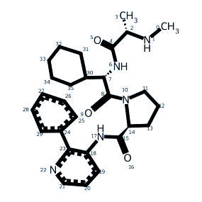 CN[C@@H](C)C(=O)N[C@H](C(=O)N1CCC[C@H]1C(=O)Nc1cccnc1-c1ccccc1)C1CCCCC1